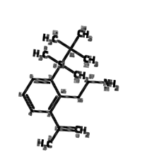 C=C(C)c1cccc([Si](C)(C)C(C)(C)C)c1CCN